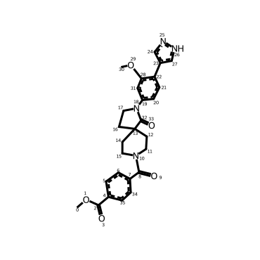 COC(=O)c1ccc(C(=O)N2CCC3(CC2)CCN(c2ccc(-c4cn[nH]c4)c(OC)c2)C3=O)cc1